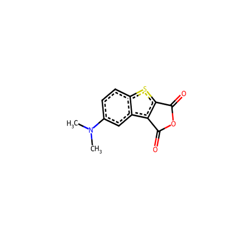 CN(C)c1ccc2sc3c(c2c1)C(=O)OC3=O